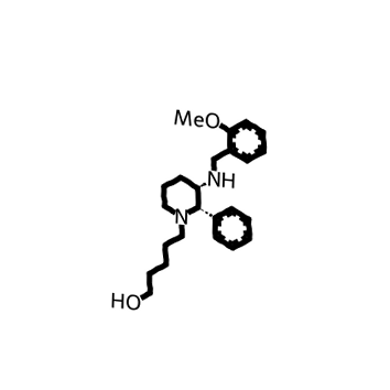 COc1ccccc1CN[C@H]1CCCN(CCCCCO)[C@H]1c1ccccc1